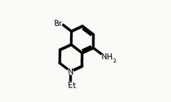 CCN1CCC2C(=C(N)C=CC2Br)C1